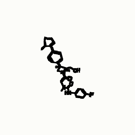 Cc1ccccc1-c1ccc([C@@H]2CN(C(=O)CN(C)C(=O)Nc3ccc(F)cc3)[C@@H]2CO)cc1